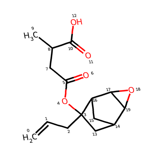 C=CCC1(OC(=O)CC(C)C(=O)O)CC2CC1C1OC21